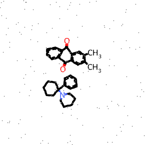 Cc1cc2c(cc1C)C(=O)c1ccccc1C2=O.c1ccc(C2(N3CCCCC3)CCCCC2)cc1